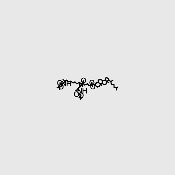 CC(C)CCCC(C)C1CCC2C3CC=C4CC(OC(=O)CCCC(=O)N(CCCCCCCC(C)NC(=O)OC(C)(C)C)CCC(C)NC(=O)OC(C)(C)C)CCC4(C)C3CCC12C